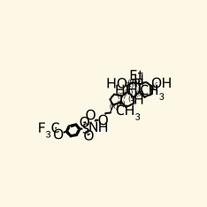 CC[C@H]1[C@@H](O)[C@@H]2[C@H](CC[C@]3(C)[C@@H](CCOC(=O)NS(=O)(=O)c4ccc(OC(F)(F)F)cc4)CC[C@@H]23)[C@@]2(C)CC[C@@H](O)C[C@@H]12